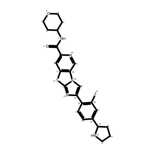 O=C(NC1CCOCC1)c1cc2sc3nc(-c4ccc(C5CCCN5)cc4F)cn3c2cn1